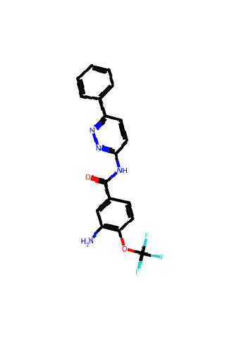 Nc1cc(C(=O)Nc2ccc(-c3ccccc3)nn2)ccc1OC(F)(F)F